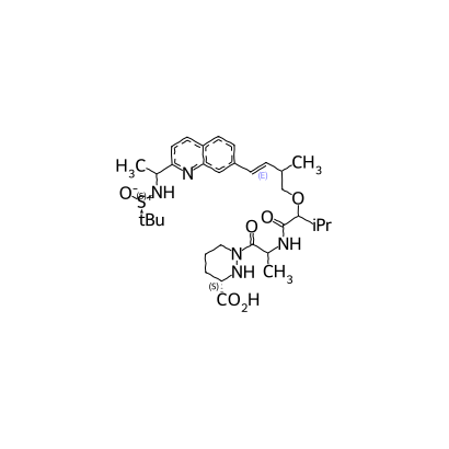 CC(/C=C/c1ccc2ccc(C(C)N[S@+]([O-])C(C)(C)C)nc2c1)COC(C(=O)NC(C)C(=O)N1CCC[C@@H](C(=O)O)N1)C(C)C